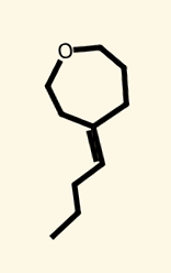 CCC/C=C1/CCCOCC1